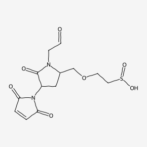 O=CCN1C(=O)C(N2C(=O)C=CC2=O)CC1COCCS(=O)O